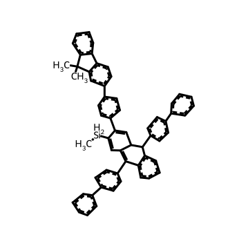 C[SiH2]C1=CC2=C(c3ccc(-c4ccccc4)cc3)c3ccccc3C(c3ccc(-c4ccccc4)cc3)C2C=C1c1ccc(-c2ccc3c(c2)C(C)(C)c2ccccc2-3)cc1